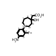 Nc1ccc(N2CCCC(O)(CC(=O)O)CC2)c(F)c1